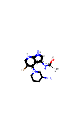 NC1CCCN(c2c(Br)cnc3[nH]cc(N[C@H](O)C=O)c23)C1